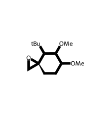 COC1CC[C@]2(CO2)C(C(C)(C)C)C1OC